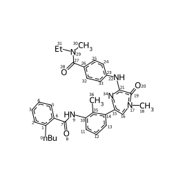 CCCCc1ccccc1C(=O)Nc1cccc(-c2cn(C)c(=O)c(Nc3ccc(C(=O)N(C)CC)cc3)n2)c1C